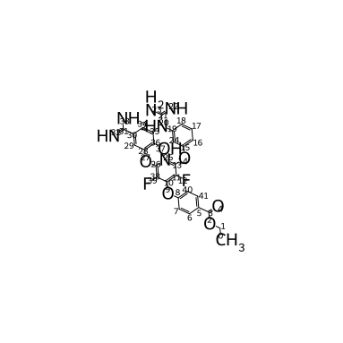 CCOC(=O)c1ccc(Oc2c(F)c(Oc3cccc(NC(=N)N)c3)nc(Oc3cc(C(=N)N)ccc3O)c2F)cc1